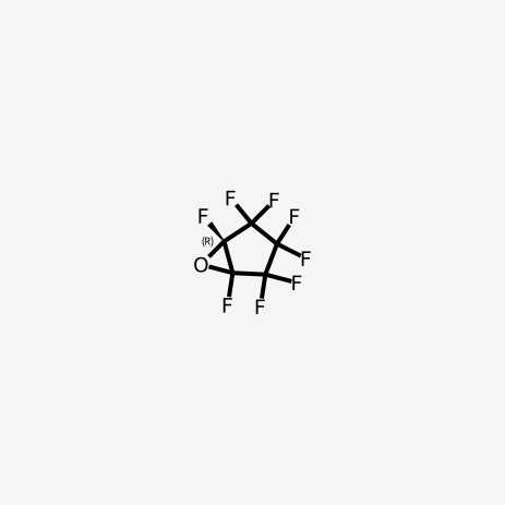 FC1(F)C(F)(F)C2(F)O[C@]2(F)C1(F)F